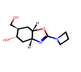 OC[C@H]1C[C@@H]2OC(N3CCC3)=N[C@@H]2C[C@@H]1O